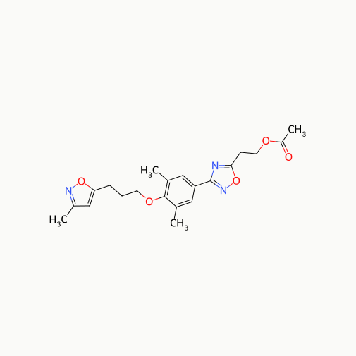 CC(=O)OCCc1nc(-c2cc(C)c(OCCCc3cc(C)no3)c(C)c2)no1